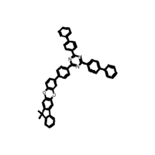 CC1(C)c2ccccc2-c2cc3c(cc21)Oc1ccc(-c2ccc(-c4nc(-c5ccc(-c6ccccc6)cc5)nc(-c5ccc(-c6ccccc6)cc5)n4)cc2)cc1O3